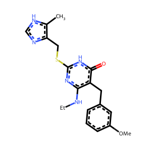 CCNc1nc(SCc2nc[nH]c2C)[nH]c(=O)c1Cc1cccc(OC)c1